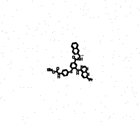 CC(C)c1ccc2c(Nc3cc(C(=O)N[C@@H](C)c4ccc5ccccc5c4)ccc3Sc3ccc(NC(=O)OC(C)(C)C)cc3)ncnc2n1